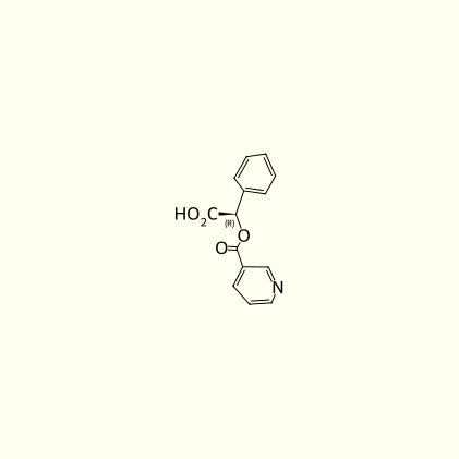 O=C(O[C@@H](C(=O)O)c1ccccc1)c1cccnc1